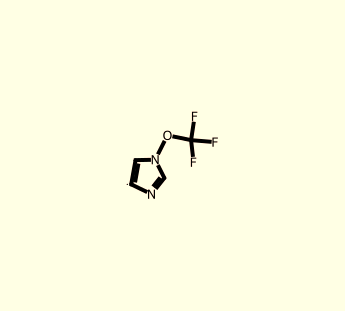 FC(F)(F)On1c[c]nc1